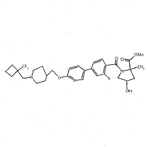 COC(=O)C1(C)CC(O)CN1C(=O)c1ccc(-c2ccc(OCC3CCN(CC4(C(F)(F)F)CCC4)CC3)nc2)cc1F